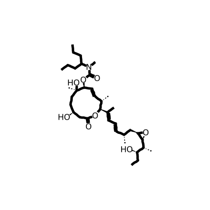 CCCC(CCC)N(C)C(=O)O[C@H]1/C=C/[C@H](C)[C@@H](/C(C)=C/C=C/[C@@H](C)C[C@H]2O[C@@H]2[C@H](C)[C@@H](O)CC)OC(=O)C[C@H](O)CC[C@@]1(C)O